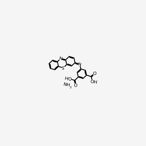 N.O=C(O)c1cc(N=c2ccc3nc4ccccc4sc-3c2)cc(C(=O)O)c1